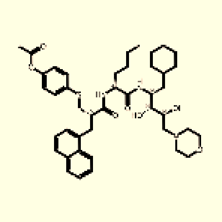 CCCC[C@H](NC(=O)[C@@H](CSc1ccc(OC(C)=O)cc1)Cc1cccc2ccccc12)C(=O)N[C@@H](CC1CCCCC1)[C@@H](O)[C@@H](O)CN1CCOCC1